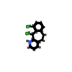 Clc1cccc2c1C(Cl)c1ncccc1CC2